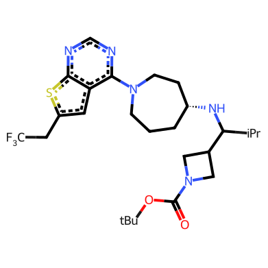 CC(C)C(N[C@@H]1CCCN(c2ncnc3sc(CC(F)(F)F)cc23)CC1)C1CN(C(=O)OC(C)(C)C)C1